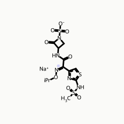 CC(C)O/N=C(/C(=O)NC1CN(S(=O)(=O)[O-])C1=O)c1csc(NS(C)(=O)=O)n1.[Na+]